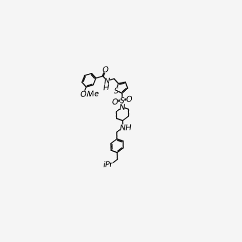 COc1cccc(C(=O)NCc2ccc(S(=O)(=O)N3CCC(NCc4ccc(CC(C)C)cc4)CC3)s2)c1